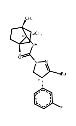 CCCCC1=NN(C(=O)N[C@@]2(C)[C@H]3CC[C@]2(C)CC3)C[C@H]1c1cccc(F)c1